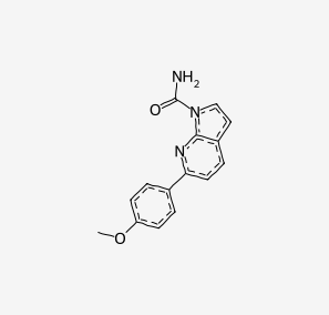 COc1ccc(-c2ccc3ccn(C(N)=O)c3n2)cc1